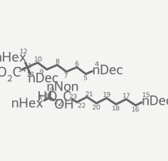 CCCCCCCCCC(O)CCCCCC.CCCCCCCCCCCCCCCCC(CCCCCC)(CCCCCCCCCC)C(=O)O.CCCCCCCCCCCCCCCCCC(=O)O